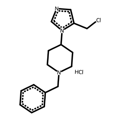 Cl.ClCc1cncn1C1CCN(Cc2ccccc2)CC1